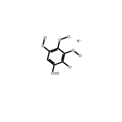 O=C([O-])c1cc(OCl)c(OCl)c(OCl)c1Cl.[K+]